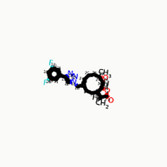 C=C1C(=O)O[C@H]2[C@H]1CC/C(Cn1cc(-c3cc(F)cc(F)c3)nn1)=C\CC[C@@]1(C)O[C@@H]21